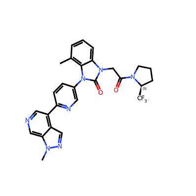 Cc1cccc2c1n(-c1ccc(-c3cncc4c3cnn4C)nc1)c(=O)n2CC(=O)N1CCC[C@H]1C(F)(F)F